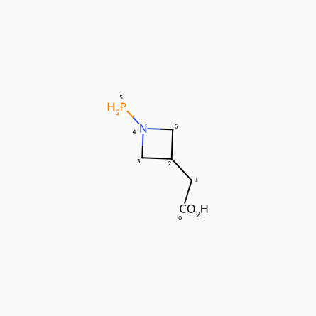 O=C(O)CC1CN(P)C1